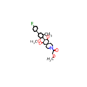 COCC(=O)N1CCC2(CC1)CC(=O)C(c1c(C)cc(-c3ccc(F)cc3)cc1OC)C(=O)C2